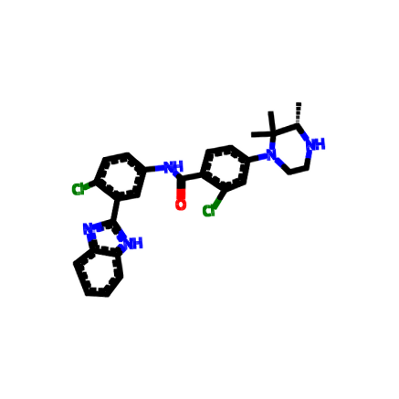 C[C@@H]1NCCN(c2ccc(C(=O)Nc3ccc(Cl)c(-c4nc5ccccc5[nH]4)c3)c(Cl)c2)C1(C)C